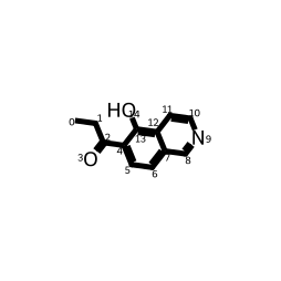 CCC(=O)c1ccc2cnccc2c1O